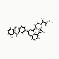 CNC(=O)C1CCN(c2nc(-c3ccnc(Nc4c(F)cccc4F)c3)nc3cncc(C4CC4)c23)CC1